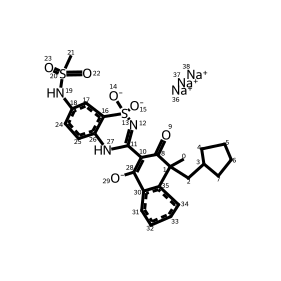 CC1(CC2CCCC2)C(=O)C(C2=NS([O-])([O-])c3cc(NS(C)(=O)=O)ccc3N2)=C([O-])c2ccccc21.[Na+].[Na+].[Na+]